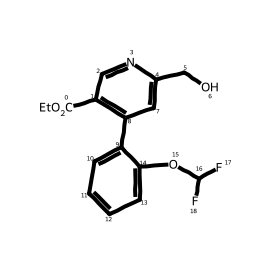 CCOC(=O)c1cnc(CO)cc1-c1ccccc1OC(F)F